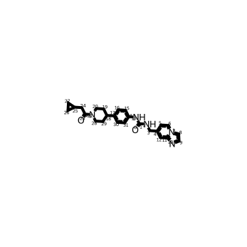 O=C(NCc1ccn2ccnc2c1)Nc1ccc(C2CCN(C(=O)CC3CC3)CC2)cc1